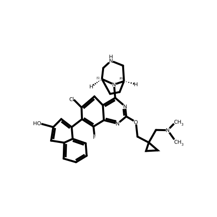 CN(C)CC1(COc2nc(N3[C@@H]4CC[C@H]3CNC4)c3cc(Cl)c(-c4cc(O)cc5ccccc45)c(F)c3n2)CC1